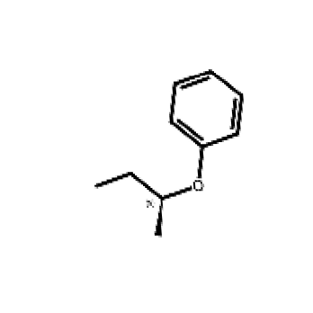 CC[C@H](C)Oc1ccccc1